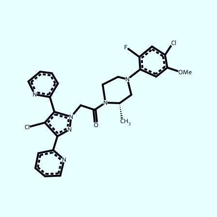 COc1cc(N2CCN(C(=O)Cn3nc(-c4ccccn4)c(Cl)c3-c3ccccn3)[C@@H](C)C2)c(F)cc1Cl